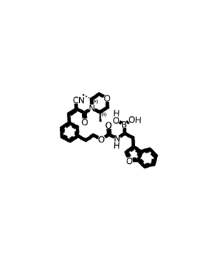 C[C@@H]1COC[C@@H](C)N1C(=O)C(C#N)=Cc1cccc(CCOC(=O)NC(Cc2coc3ccccc23)B(O)O)c1